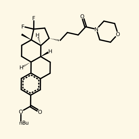 CCCCOC(=O)c1ccc2c(c1)CC[C@H]1[C@@H]3[C@@H](CCCC(=O)N4CCOCC4)CC(F)(F)[C@@]3(C)CC[C@H]21